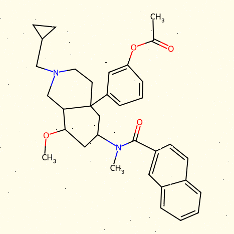 COC1CC(N(C)C(=O)c2ccc3ccccc3c2)CC2(c3cccc(OC(C)=O)c3)CCN(CC3CC3)CC12